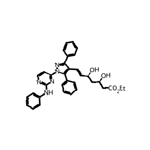 CCOC(=O)C[C@H](O)C[C@H](O)/C=C/c1c(-c2ccccc2)nn(-c2ccnc(Nc3ccccc3)n2)c1-c1ccccc1